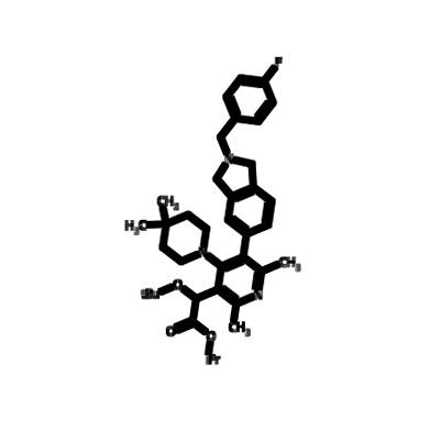 Cc1nc(C)c(C(OC(C)(C)C)C(=O)OC(C)C)c(N2CCC(C)(C)CC2)c1-c1ccc2c(c1)CN(Cc1ccc(F)cc1)C2